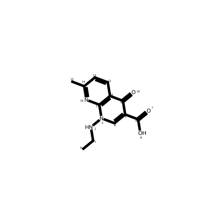 CCNn1cc(C(=O)O)c(=O)c2ccc(C)nc21